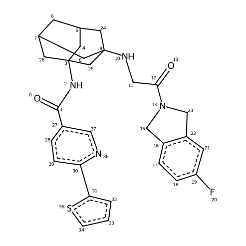 O=C(NC12CC3CC(CC(NCC(=O)N4Cc5ccc(F)cc5C4)(C3)C1)C2)c1ccc(-c2cccs2)nc1